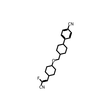 N#CC(F)=CC1CCC(OCC2CCC(c3ccc(C#N)cc3)CC2)CC1